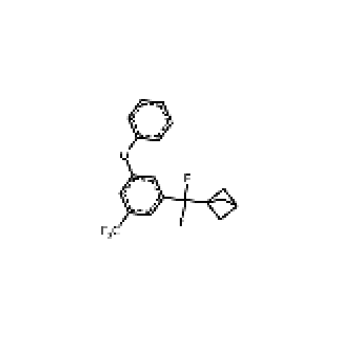 FC(F)(F)c1cc(Oc2ccccc2)cc(C(F)(F)C23CC(C2)C3)c1